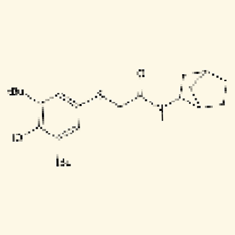 CC(C)(C)c1cc(SCC(=O)NC2CC3CCC2C3)cc(C(C)(C)C)c1O